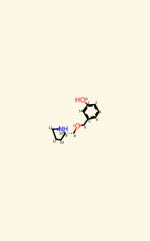 Oc1cccc(COC[C@@H]2CCCN2)c1